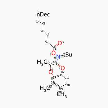 CCCCCCCCCCCCCCCC(=O)ON(C(=O)C(C)Oc1cccc(C)c1C)C(C)(C)C